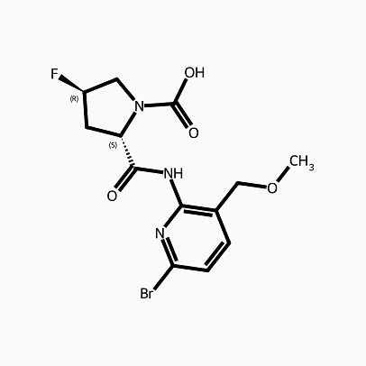 COCc1ccc(Br)nc1NC(=O)[C@@H]1C[C@@H](F)CN1C(=O)O